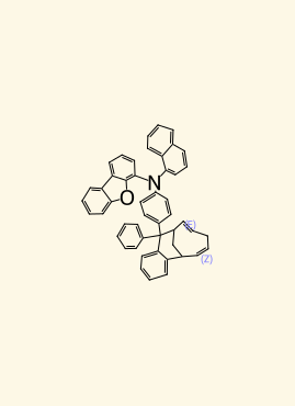 C1=C\C2CC(/C=C/C/1)C(c1ccccc1)(c1ccc(N(c3cccc4ccccc34)c3cccc4c3oc3ccccc34)cc1)c1ccccc12